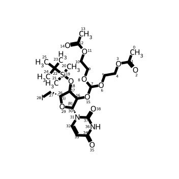 CC(=O)OCCOC(OCCOC(C)=O)OC1C(O[Si](C)(C)C(C)(C)C)[C@@H](CI)O[C@H]1n1ccc(=O)[nH]c1=O